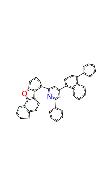 c1ccc(-c2cc(-c3ccc(-c4ccccc4)c4ccccc34)cc(-c3cccc4oc5c6ccccc6ccc5c34)n2)cc1